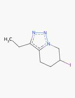 CCc1nnn2c1CCC(I)C2